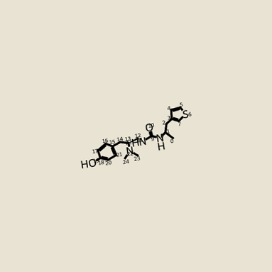 CC(Cc1ccsc1)NC(=O)NC[C@H](Cc1ccc(O)cc1)N(C)C